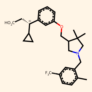 Cc1ccc(C(F)(F)F)cc1CN1CC(COc2cccc([C@@H](CC(=O)O)C3CC3)c2)C(C)(C)C1